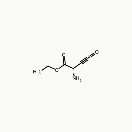 CCOC(=O)[C@@H](N)C#P=O